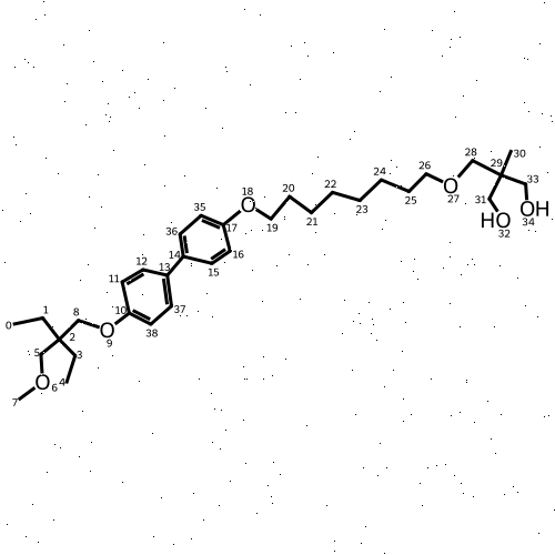 CCC(CC)(COC)COc1ccc(-c2ccc(OCCCCCCCCOCC(C)(CO)CO)cc2)cc1